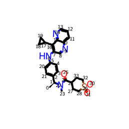 C[C@@H](c1ccc(Nc2cnc3cccnc3c2C2CC2)cc1)N(C)C(=O)C1CCS(=O)(=O)CC1